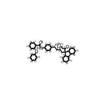 CCCNC(=O)C1(CCCCc2ccc(NC(=O)c3ccccc3Oc3ccccc3)cc2)c2ccccc2-c2ccccc21